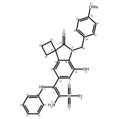 CCS(=O)(=O)/C(N)=C(/Nc1ccccc1)c1cc(O)c2c(c1)C1(CCC1)C(=O)N2Cc1ccc(OC)cc1